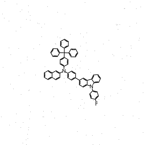 Fc1ccc(-n2c3ccccc3c3cc(-c4ccc(N(c5ccc(C(c6ccccc6)(c6ccccc6)c6ccccc6)cc5)c5ccc6ccccc6c5)cc4)ccc32)cc1